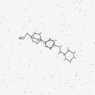 CC(=O)OCC12CCC(c3ccc(COC4CCCCO4)cc3)(CC1)OC2